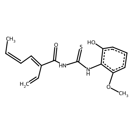 C=C/C(=C\C=C/C)C(=O)NC(=S)Nc1c(O)cccc1OC